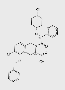 O=C(O)[C@@H]1Cc2c(ccc(Cl)c2OCc2ccccc2)CN1C(=O)[C@H](O[C@H]1CC[C@@H](O)CC1)c1ccccc1